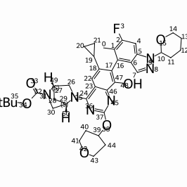 Cc1c(F)cc2c(cnn2C2CCCCO2)c1-c1c(C2CC2)cc2c(N3C[C@@H]4C[C@H]3CN4C(=O)OC(C)(C)C)nc(OC3CCOCC3)nc2c1O